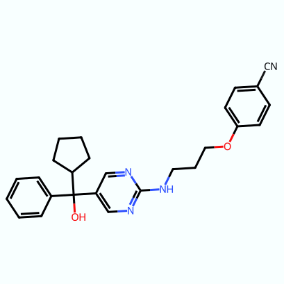 N#Cc1ccc(OCCCNc2ncc(C(O)(c3ccccc3)C3CCCC3)cn2)cc1